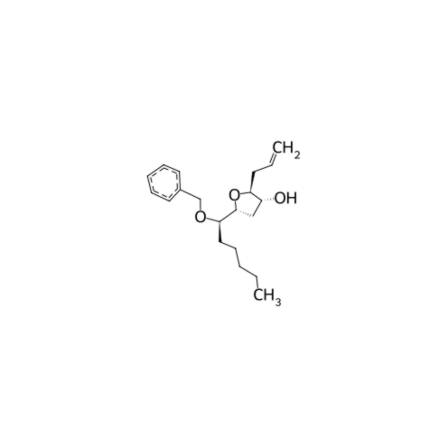 C=CC[C@@H]1O[C@@H]([C@@H](CCCCC)OCc2ccccc2)C[C@H]1O